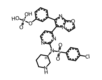 O=P(O)(O)Oc1cccc(-c2nc3occn3c2-c2ccnc(N([C@@H]3CCCNC3)S(=O)(=O)c3ccc(Cl)cc3)n2)c1